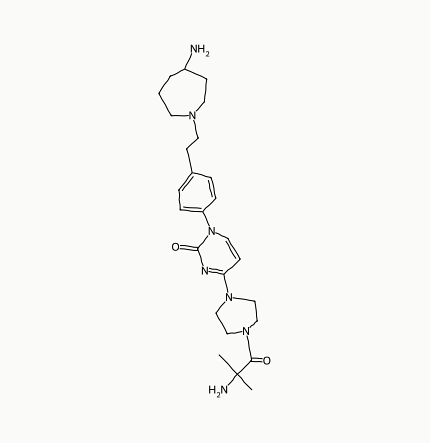 CC(C)(N)C(=O)N1CCN(c2ccn(-c3ccc(CCN4CCCC(N)CC4)cc3)c(=O)n2)CC1